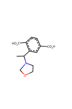 CC(c1cc(C(=O)O)ccc1C(=O)O)N1CCOC1